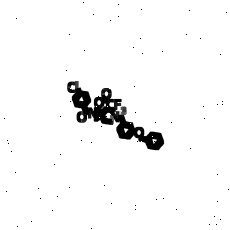 O=C(c1ccc(Cl)cc1)N1CC2(CCN(Cc3cccc(OCc4ccccc4)c3)CC2)C1OC(=O)C(F)(F)F